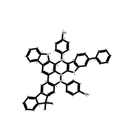 CC(C)(C)c1ccc(N2B3c4sc5cc(-c6ccccc6)ccc5c4N(c4ccc(C(C)(C)C)cc4)c4c3c(cc3c4oc4ccccc43)-c3cc4c(cc32)C(C)(C)c2ccccc2-4)cc1